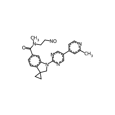 Cc1cc(-c2cnc(N3CC4(CC4)c4ccc(C(=O)N(C)CCN=O)cc43)nc2)ccn1